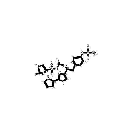 Cc1nc(S(=O)(=O)OC(=O)NC(Cc2ccc(OS(N)(=O)=O)cc2)c2csc(-c3cccs3)n2)cs1